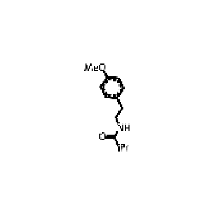 COc1ccc(CCNC(=O)C(C)C)cc1